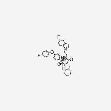 O=C(NCCN1CCc2cc(F)ccc21)[C@H](CC1CCCCC1)NS(=O)(=O)c1ccc(Oc2ccc(F)cc2)cc1